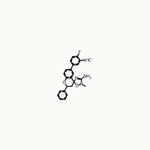 [C-]#[N+]c1cc(-c2ccc3c(c2)C2(CC(c4ccccc4)O3)N=C(N)N(C)O2)ccc1F